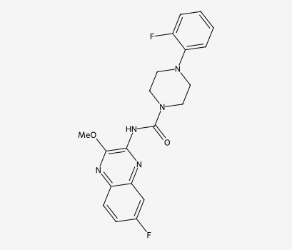 COc1nc2ccc(F)cc2nc1NC(=O)N1CCN(c2ccccc2F)CC1